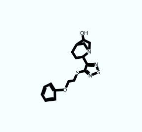 OC1CN2CC1CCC2c1nsnc1SCCOc1ccccc1